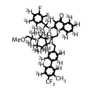 [2H]c1c([2H])c(F)c(F)c(C([2H])([2H])Sc2c([2H])c(=O)c3c([2H])c([2H])c([2H])c([2H])c3n2CC(=O)N(Cc2c([2H])c([2H])c(-c3c([2H])c([2H])c(C(F)(F)F)c(C)c3[2H])c([2H])c2[2H])C2([2H])C([2H])([2H])C([2H])([2H])N(C([2H])([2H])COC)C([2H])([2H])C2([2H])[2H])c1[2H]